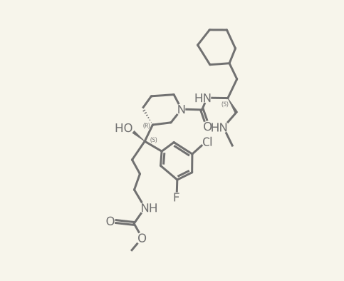 CNC[C@H](CC1CCCCC1)NC(=O)N1CCC[C@@H]([C@@](O)(CCCNC(=O)OC)c2cc(F)cc(Cl)c2)C1